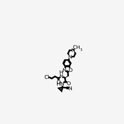 CN1CCN(c2ccc3nc(C[C@H](NC(=O)CCCl)C(=O)NC4(C#N)CC4)oc3c2)CC1